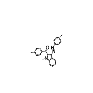 Cc1ccc(/N=N/c2c(C(=O)c3ccc(C)cc3)n(C)c3ccccc23)cc1